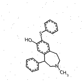 CN1CCc2cc(Sc3ccccc3)c(O)cc2C(c2ccccc2)C1